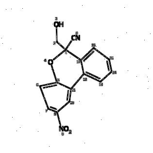 N#CC1(CO)Oc2ccc([N+](=O)[O-])cc2-c2ccccc21